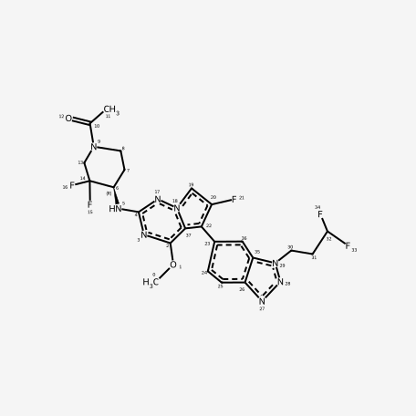 COc1nc(N[C@@H]2CCN(C(C)=O)CC2(F)F)nn2cc(F)c(-c3ccc4nnn(CCC(F)F)c4c3)c12